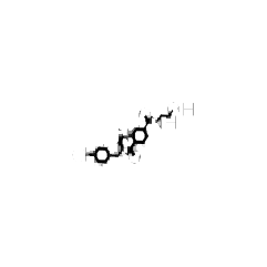 O=C(NCCO)c1ccc2c(=O)n(Cc3ccc(Cl)cc3)cnc2c1